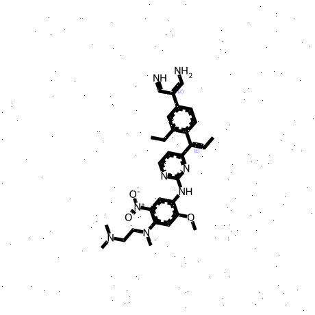 C/C=C(/c1ccnc(Nc2cc([N+](=O)[O-])c(N(C)CCN(C)C)cc2OC)n1)c1ccc(/C(C=N)=C/N)cc1CC